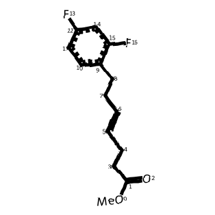 COC(=O)CC/C=C/CCc1ccc(F)cc1F